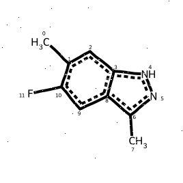 Cc1cc2[nH]nc(C)c2cc1F